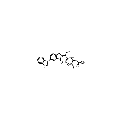 CCC(C(=O)NC(CC(=O)O)C(=O)CF)N1Cc2ccc(-c3csc4ccccc34)cc2C1=O